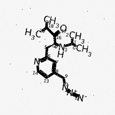 CC(C)N[C@@H](Cc1cc(CN=[N+]=[N-])ccn1)C(=O)C(C)C